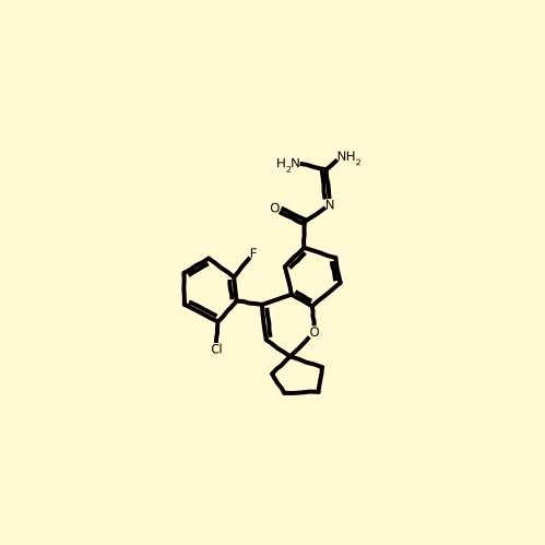 NC(N)=NC(=O)c1ccc2c(c1)C(c1c(F)cccc1Cl)=CC1(CCCC1)O2